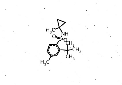 Cc1ccc(S(=O)(=O)NC2(C)CC2)c(C(C)(C)C)c1